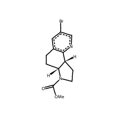 COC(=O)N1CC[C@H]2c3ncc(Br)cc3CC[C@H]21